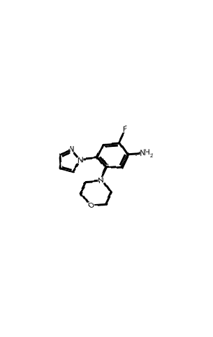 Nc1cc(N2CCOCC2)c(-n2cccn2)cc1F